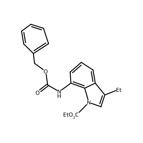 CCOC(=O)n1cc(CC)c2cccc(NC(=O)OCc3ccccc3)c21